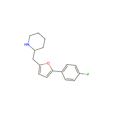 Fc1ccc(-c2ccc(CC3CCCCN3)o2)cc1